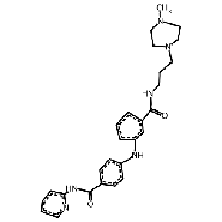 CN1CCN(CCCNC(=O)c2cccc(Nc3ccc(C(=O)Nc4ccccn4)cc3)c2)CC1